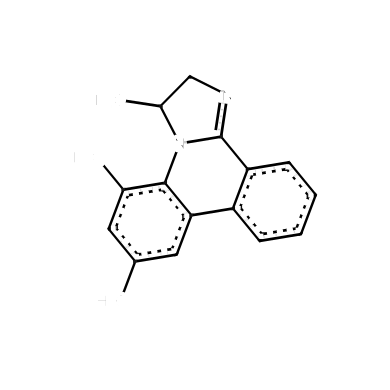 Cc1cc(C)c2c(c1)-c1ccccc1C1=NCC(C)N12